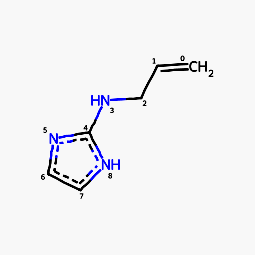 C=CCNc1ncc[nH]1